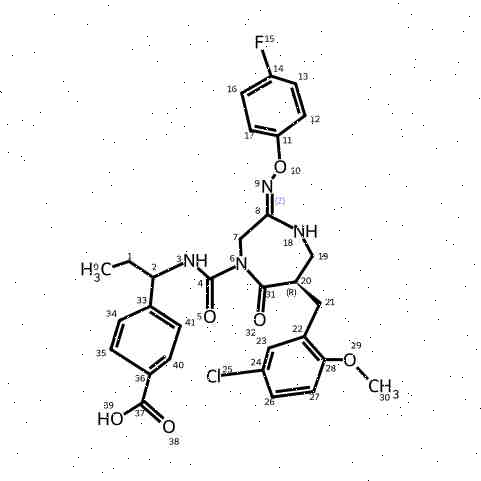 CCC(NC(=O)N1C/C(=N/Oc2ccc(F)cc2)NC[C@@H](Cc2cc(Cl)ccc2OC)C1=O)c1ccc(C(=O)O)cc1